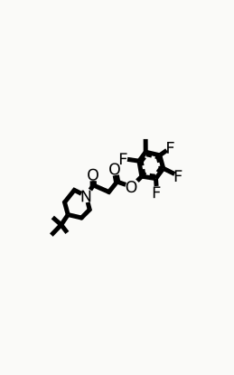 Cc1c(F)c(F)c(F)c(OC(=O)CC(=O)N2CCC(C(C)(C)C)CC2)c1F